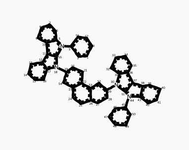 c1ccc(-n2c3ccccc3c3c4ccccc4n(-c4ccc5c(ccc6ccc(-n7c8ccccc8c8c9ccccc9n(-c9ccccc9)c87)cc65)c4)c32)cc1